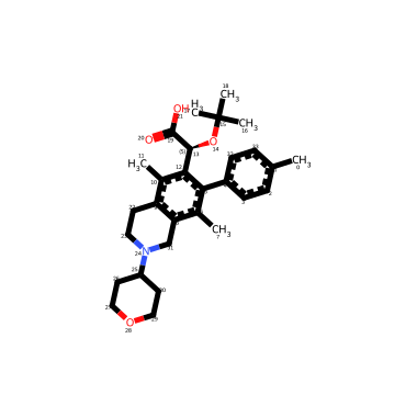 Cc1ccc(-c2c(C)c3c(c(C)c2[C@H](OC(C)(C)C)C(=O)O)CCN(C2CCOCC2)C3)cc1